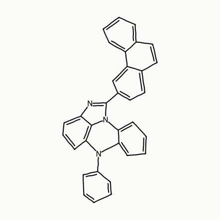 c1ccc(N2c3ccccc3-n3c(-c4ccc5ccc6ccccc6c5c4)nc4cccc2c43)cc1